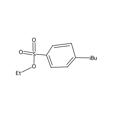 CCOS(=O)(=O)c1ccc(C(C)CC)cc1